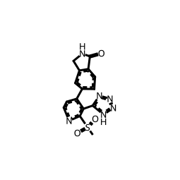 CS(=O)(=O)c1nccc(-c2ccc3c(c2)CNC3=O)c1-c1nnn[nH]1